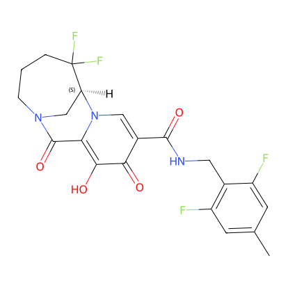 Cc1cc(F)c(CNC(=O)c2cn3c(c(O)c2=O)C(=O)N2CCCC(F)(F)[C@@H]3C2)c(F)c1